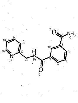 NC(=O)c1cccc(C(=O)NCc2ccccn2)c1